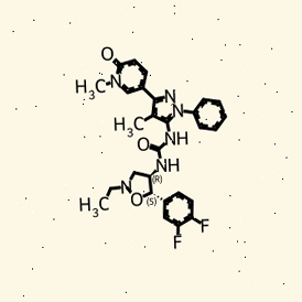 CCN1C[C@@H](NC(=O)Nc2c(C)c(-c3ccc(=O)n(C)c3)nn2-c2ccccc2)[C@H](c2ccc(F)c(F)c2)O1